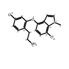 Cn1ccc2c(Oc3cc(Cl)ccc3CCN)ccc(Cl)c21